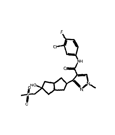 Cn1cc(C(=O)Nc2ccc(F)c(Cl)c2)c(C2CC3CC(O)(CS(C)(=O)=O)CC3C2)n1